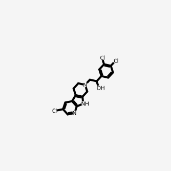 OC(CN1CCc2c([nH]c3ncc(Cl)cc23)C1)c1ccc(Cl)c(Cl)c1